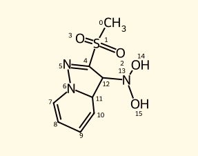 CS(=O)(=O)C1=NN2C=CC=CC2C1N(O)O